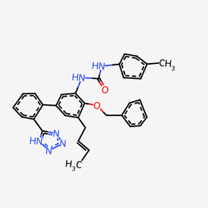 C/C=C/Cc1cc(-c2ccccc2-c2nnn[nH]2)cc(NC(=O)Nc2ccc(C)cc2)c1OCc1ccccc1